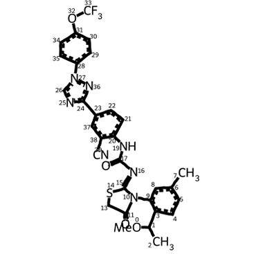 COC(C)c1ccc(C)cc1N1C(=O)CSC1=NC(=O)Nc1ccc(-c2ncn(-c3ccc(OC(F)(F)F)cc3)n2)cc1C#N